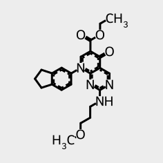 CCOC(=O)c1cn(-c2ccc3c(c2)CCC3)c2nc(NCCCOC)ncc2c1=O